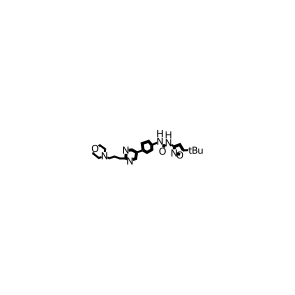 CC(C)(C)c1cc(NC(=O)Nc2ccc(-c3cnc(CCCN4CCOCC4)nc3)cc2)no1